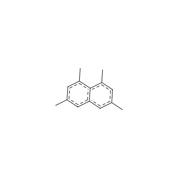 Cc1cc(C)c2c(C)cc(C)cc2c1